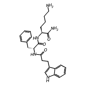 NCCCC[C@H](NC(=O)[C@@H](Cc1ccccc1)NC(=O)CCc1c[nH]c2ccccc12)C(N)=O